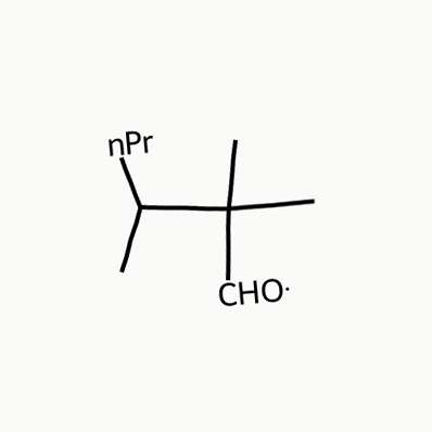 CCCC(C)C(C)(C)[C]=O